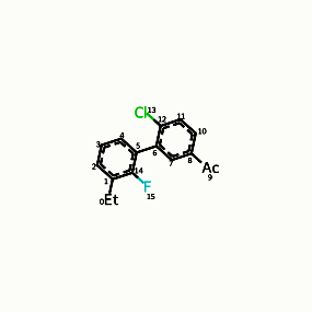 CCc1cccc(-c2cc(C(C)=O)ccc2Cl)c1F